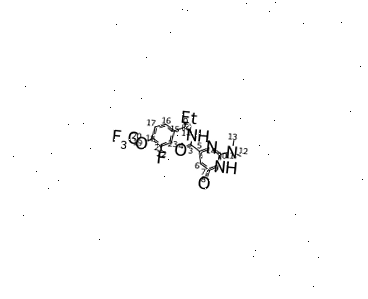 CC[C@@H](NC(=O)c1cc(=O)[nH]c(N(C)C)n1)c1ccc(OC(F)(F)F)c(F)c1